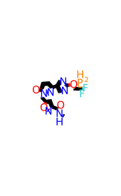 CNC(=O)c1cc(Cn2nc(-c3cnc(OCC(F)(F)P)nc3)ccc2=O)on1